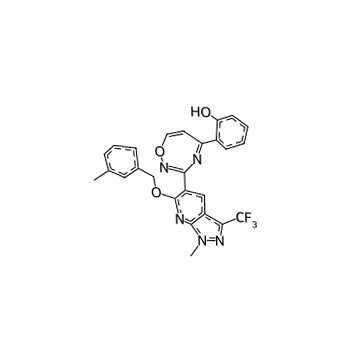 Cc1cccc(COc2nc3c(cc2C2=NOC=CC(c4ccccc4O)=N2)c(C(F)(F)F)nn3C)c1